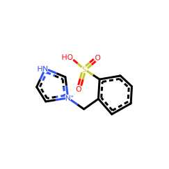 O=S(=O)(O)c1ccccc1C[n+]1cc[nH]c1